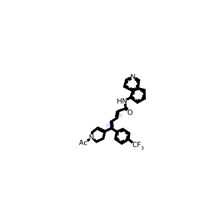 CC(=O)N1CC=C(/C(=C/C=C/C(=O)Nc2cccc3cnccc23)c2ccc(C(F)(F)F)cc2)CC1